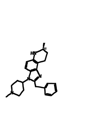 C[C@H]1CCc2c(ccc3c2nc(Cc2ccccc2)n3C2CCN(C)CC2)N1